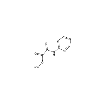 CCCCOC(=O)C(=O)Nc1ccccn1